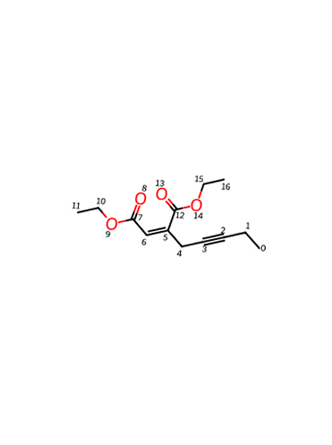 CCC#CC/C(=C/C(=O)OCC)C(=O)OCC